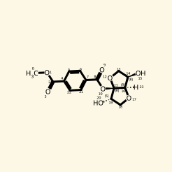 COC(=O)c1ccc(C(=O)O[C@@]23OC[C@@H](O)[C@H]2OC[C@@H]3O)cc1